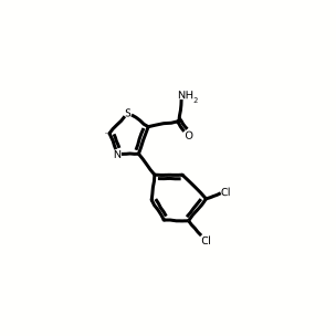 NC(=O)c1s[c]nc1-c1ccc(Cl)c(Cl)c1